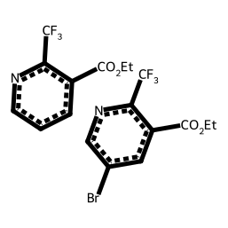 CCOC(=O)c1cc(Br)cnc1C(F)(F)F.CCOC(=O)c1cccnc1C(F)(F)F